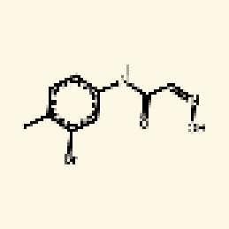 Cc1ccc(NC(=O)/C=N\O)cc1Br